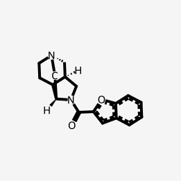 O=C(c1cc2ccccc2o1)N1C[C@@H]2C[N@@]3CCC2[C@@H]1C3